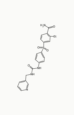 CCc1cc(S(=O)(=O)c2ccc(NC(=O)NCc3cccnc3)cc2)ccc1C(N)=O